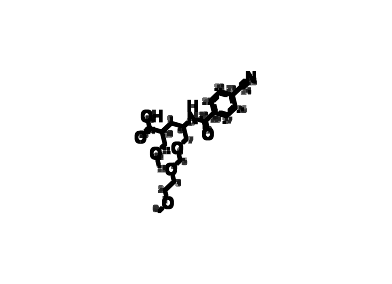 COCCOCOCC(CC(COC)C(=O)O)NC(=O)c1ccc(C#N)cc1